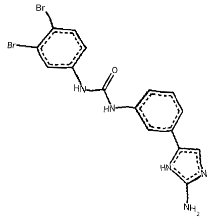 Nc1ncc(-c2cccc(NC(=O)Nc3ccc(Br)c(Br)c3)c2)[nH]1